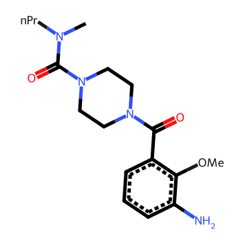 CCCN(C)C(=O)N1CCN(C(=O)c2cccc(N)c2OC)CC1